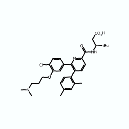 Cc1ccc(-c2ccc(C(=O)N[C@@H](CC(=O)O)C(C)(C)C)nc2-c2ccc(Cl)c(OCCCN(C)C)c2)c(C)c1